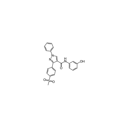 CS(=O)(=O)c1ccc(-c2nn(-c3ccccc3)cc2C(=O)Nc2cccc(O)c2)cc1